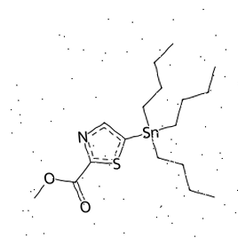 CCC[CH2][Sn]([CH2]CCC)([CH2]CCC)[c]1cnc(C(=O)OC)s1